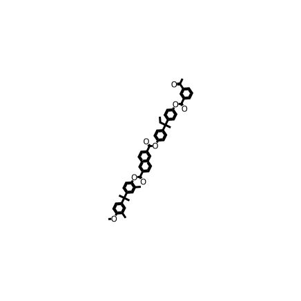 CCC(C)(c1ccc(OC(=O)c2cccc(C(C)=O)c2)cc1)c1ccc(OC(=O)c2ccc3cc(C(=O)Oc4ccc(C(C)(C)c5ccc(OC)c(C)c5)cc4C)ccc3c2)cc1